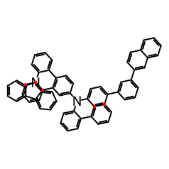 c1ccc(-c2cc(N(c3ccc(-c4cccc(-c5ccc6ccccc6c5)c4)cc3)c3ccccc3-c3ccccc3)ccc2-c2ccccc2-n2c3ccccc3c3ccccc32)cc1